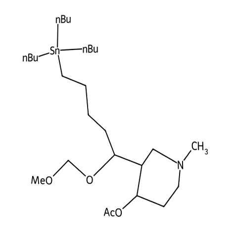 CCC[CH2][Sn]([CH2]CCC)([CH2]CCC)[CH2]CCCC(OCOC)C1CN(C)CCC1OC(C)=O